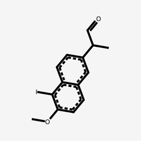 COc1ccc2cc(C(C)C=O)ccc2c1I